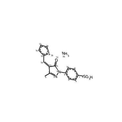 CC1=NN(c2ccc(S(=O)(=O)O)cc2)C(=O)C1=Cc1cccs1.N